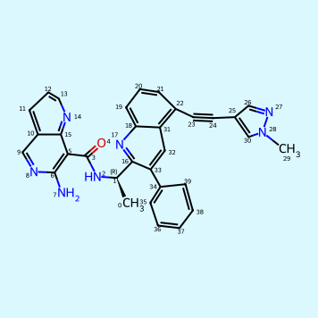 C[C@@H](NC(=O)c1c(N)ncc2cccnc12)c1nc2cccc(C#Cc3cnn(C)c3)c2cc1-c1ccccc1